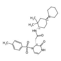 Cc1ccc(S(=O)(=O)N2C=CNC(=O)[C@H]2CC(=O)N[C@H]2CC[C@H](N3CCCCC3)CC2(C)C)cc1